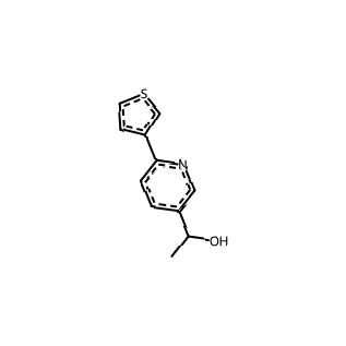 CC(O)c1ccc(-c2ccsc2)nc1